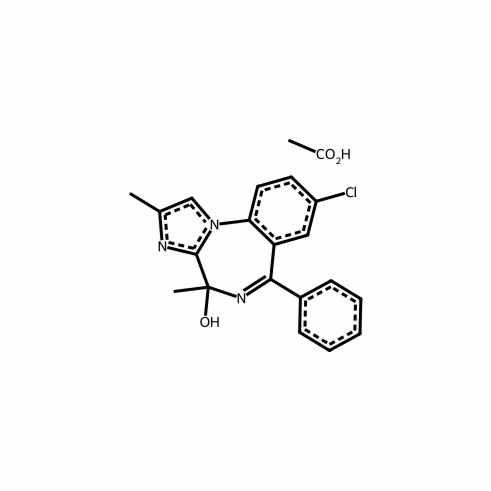 CC(=O)O.Cc1cn2c(n1)C(C)(O)N=C(c1ccccc1)c1cc(Cl)ccc1-2